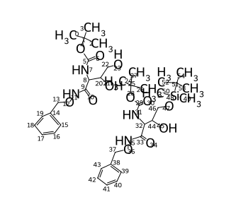 CC(C)(C)OC(=O)NC(C(=O)NOCc1ccccc1)C(O)CO.CC(C)(C)OC(=O)NC(C(=O)NOCc1ccccc1)C(O)CO[Si](C)(C)C(C)(C)C